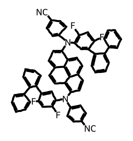 [C-]#[N+]c1ccc(N(c2cc(-c3ccccc3-c3ccccc3)c(F)cc2F)c2ccc3ccc4c(N(c5ccc(C#N)cc5)c5cc(-c6ccccc6-c6ccccc6)c(F)cc5F)ccc5ccc2c3c54)cc1